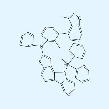 Cc1coc2cccc(-c3ccc4c5ccccc5n(-c5cc6c(ccc7c8ccccc8n([PH](C)(c8ccccc8)c8ccccc8)c67)s5)c4c3C)c12